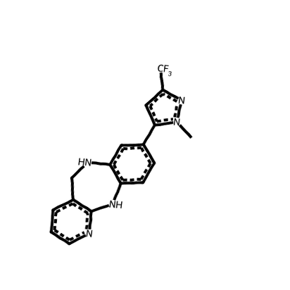 Cn1nc(C(F)(F)F)cc1-c1ccc2c(c1)NCc1cccnc1N2